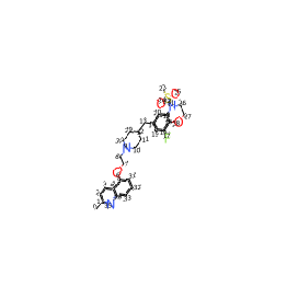 Cc1ccc2c(OCCN3CCC(Cc4cc(F)c5c(c4)N(S(C)(=O)=O)CCO5)CC3)cccc2n1